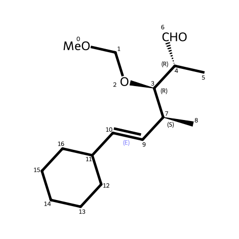 COCO[C@@H]([C@@H](C)C=O)[C@@H](C)/C=C/C1CCCCC1